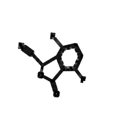 N#CC1OC(=O)c2c(F)ccc(F)c21